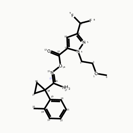 COCCn1nc(C(F)F)cc1C(=O)O/N=C(\N)C1(c2ccccc2C)CC1